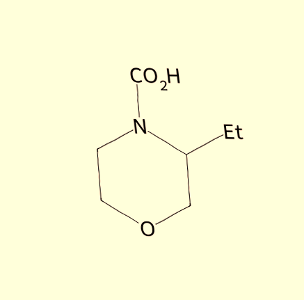 CCC1COCCN1C(=O)O